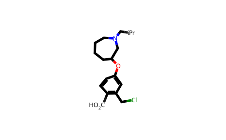 CC(C)CN1CCCCC(Oc2ccc(C(=O)O)c(CCl)c2)C1